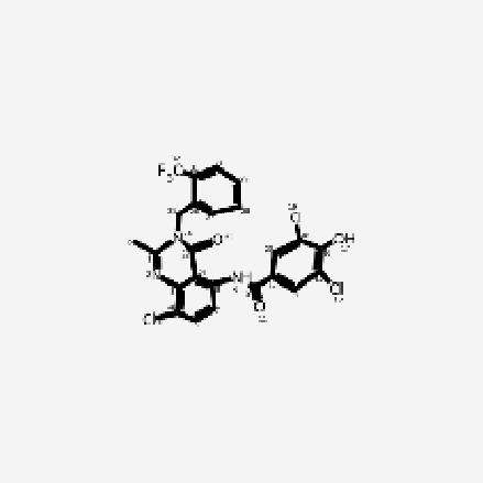 Cc1nc2c(Cl)ccc(NC(=O)c3cc(Cl)c(O)c(Cl)c3)c2c(=O)n1Cc1ccccc1C(F)(F)F